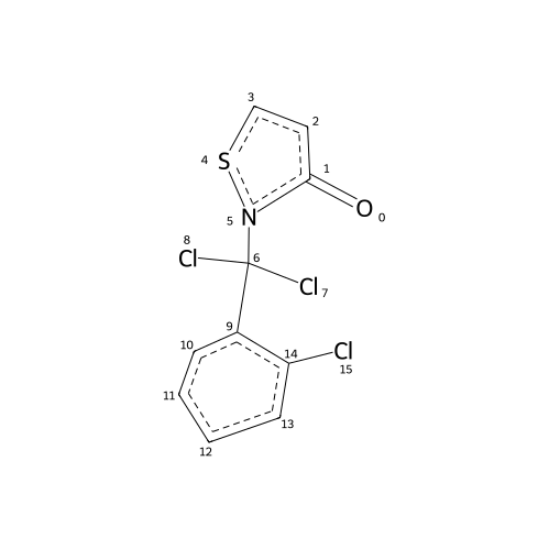 O=c1ccsn1C(Cl)(Cl)c1ccccc1Cl